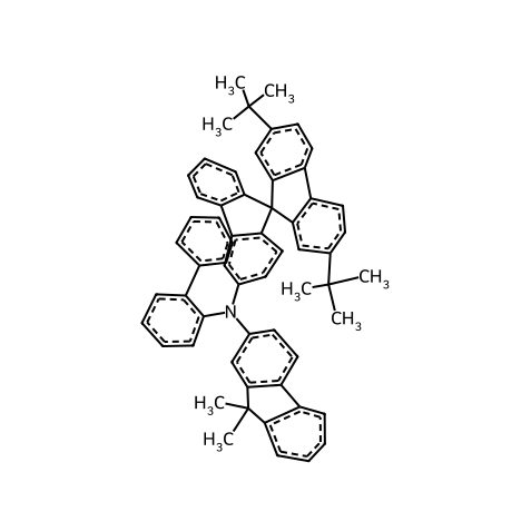 CC(C)(C)c1ccc2c(c1)C1(c3ccccc3-c3cc(N(c4ccc5c(c4)C(C)(C)c4ccccc4-5)c4ccccc4-c4ccccc4)ccc31)c1cc(C(C)(C)C)ccc1-2